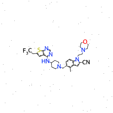 Cc1c(CN2CCC(Nc3ncnc4sc(CC(F)(F)F)cc34)CC2)ccc2c1cc(C#N)n2CCN1CCOCC1